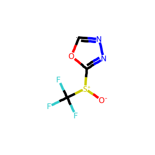 [O-][S+](c1nn[c]o1)C(F)(F)F